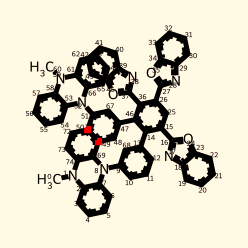 CN1c2ccccc2N(c2cccc(-c3c(-c4nc5ccccc5o4)cc(-c4nc5ccccc5o4)c(-c4nc5ccccc5o4)c3-c3cccc(N4c5ccccc5N(C)c5ccccc54)c3)c2)c2ccccc21